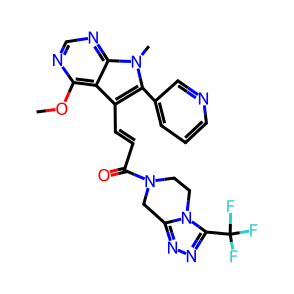 COc1ncnc2c1c(/C=C/C(=O)N1CCn3c(nnc3C(F)(F)F)C1)c(-c1cccnc1)n2C